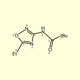 CCc1nc(NC(=O)C(C)(C)C)no1